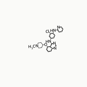 CN1CCC(Oc2cccc3ncnc(Nc4ccc(Nc5ccccn5)c(Cl)c4)c23)CC1